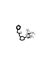 CC(C)(C)ON(C=O)C1CCCC(CC(=O)Cc2ccccc2)C1